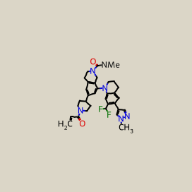 C=CC(=O)N1CCC(c2cc3c(c(N4CCCc5cc(-c6cnn(C)c6)c(C(F)F)cc54)c2)CN(C(=O)NC)CC3)CC1